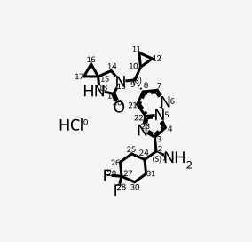 Cl.N[C@H](c1cn2ncc([C@@H](C3CC3)N3CC4(CC4)NC3=O)cc2n1)C1CCC(F)(F)CC1